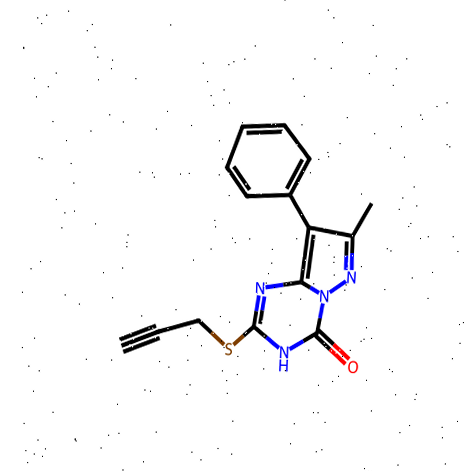 C#CCSc1nc2c(-c3ccccc3)c(C)nn2c(=O)[nH]1